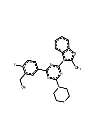 Cc1nc2ccccc2n1-c1nc(-c2ccc(F)c(CO)c2)nc(N2CCOCC2)n1